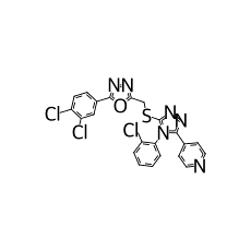 Clc1ccc(-c2nnc(CSc3nnc(-c4ccncc4)n3-c3ccccc3Cl)o2)cc1Cl